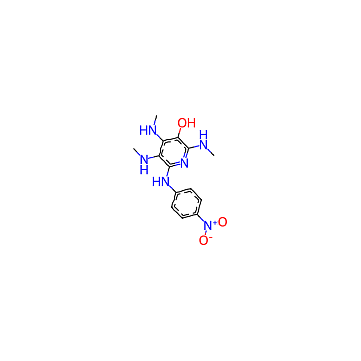 CNc1nc(Nc2ccc([N+](=O)[O-])cc2)c(NC)c(NC)c1O